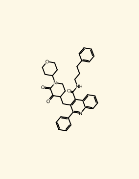 O=C(NCCCc1ccccc1)c1c(CC2CCN(C3CCOCC3)C(=O)C2=O)c(-c2ccccc2)nc2ccccc12